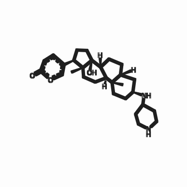 C[C@]12CC[C@H](NC3CCNCC3)C[C@H]1CC[C@@H]1[C@@H]2CC[C@]2(C)[C@@H](c3ccc(=O)oc3)CC[C@]12O